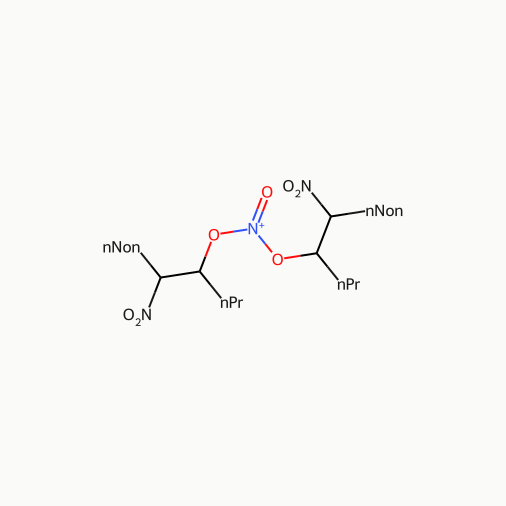 CCCCCCCCCC(C(CCC)O[N+](=O)OC(CCC)C(CCCCCCCCC)[N+](=O)[O-])[N+](=O)[O-]